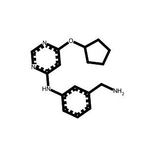 NCc1cccc(Nc2cc(OC3CCCC3)ncn2)c1